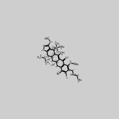 CCCCOc1noc2c1C(=O)[C@@]1(O[Si](C)(C)C(C)(C)C)C(O)=C3C(=O)c4c(c(Br)c(F)c(CNCC(C)(C)C)c4OCCCC)C[C@H]3C[C@H]1[C@@H]2N(C)C